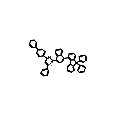 c1ccc(-c2ccc(-c3cc(-c4ccccc4)nc(-c4ccc(-c5cccc6c5-c5ccccc5C6(c5ccccc5)c5ccccc5)c5ccccc45)n3)cc2)cc1